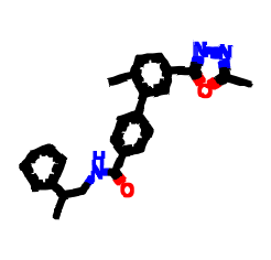 Cc1nnc(-c2ccc(C)c(-c3ccc(C(=O)NCC(C)c4ccccc4)cc3)c2)o1